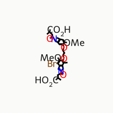 COc1cc2c(cc1OCCCOc1c(C)c3c(c(Br)c1OC)CN(C(=O)CC(C)C(=O)O)C3)CN(C(=O)CC(C)C(=O)O)C2